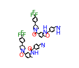 CNCc1ccc(C(=O)Nc2cc(C(=O)N3CCC(c4ccc(C(F)(F)F)cc4)CC3)ccc2C)cc1.Cc1ccc(C(=O)N2CCC(c3ccc(C(F)(F)F)cc3)CC2)cc1NC(=O)c1ccc(CN(C)C)cc1